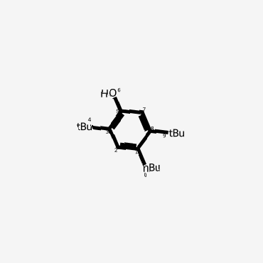 CCCCc1cc(C(C)(C)C)c(O)cc1C(C)(C)C